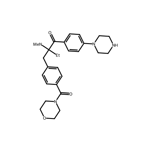 CCC(Cc1ccc(C(=O)N2CCOCC2)cc1)(NC)C(=O)c1ccc(N2CCNCC2)cc1